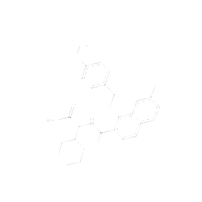 COC(=O)C(NC(=O)c1ccc2ccc(C)cc2c1OCc1ccc(OC(F)(F)F)cc1)C1CCCCC1